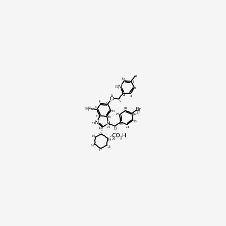 Cc1ccc(COc2cc(F)c3nc([C@H]4CCCC[C@H]4C(=O)O)n(Cc4ccc(Br)cc4)c3c2)nc1